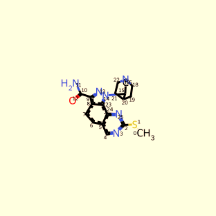 CSc1ncc2ccc3c(C(N)=O)nn(C4CN5CCC4CC5)c3c2n1